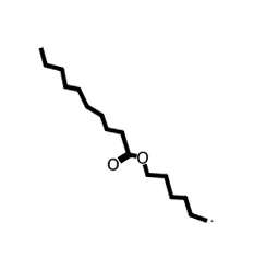 [CH2]CCCCCOC(=O)CCCCCCCCC